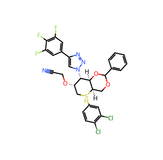 N#CCO[C@H]1C[SH](c2ccc(Cl)c(Cl)c2)[C@@H]2COC(c3ccccc3)O[C@@H]2[C@H]1n1cc(-c2cc(F)c(F)c(F)c2)nn1